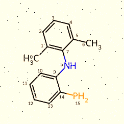 Cc1cccc(C)c1Nc1ccccc1P